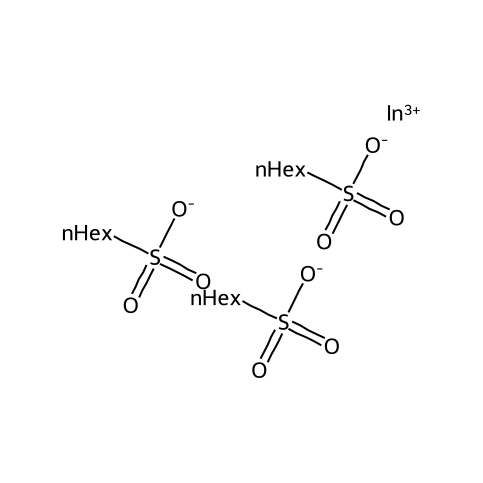 CCCCCCS(=O)(=O)[O-].CCCCCCS(=O)(=O)[O-].CCCCCCS(=O)(=O)[O-].[In+3]